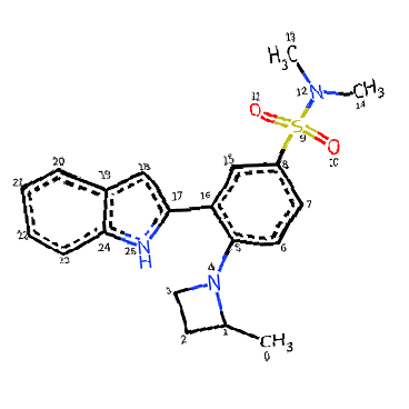 CC1CCN1c1ccc(S(=O)(=O)N(C)C)cc1-c1cc2ccccc2[nH]1